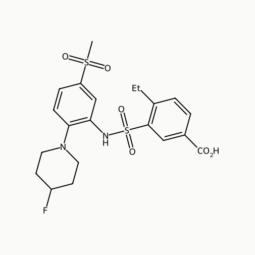 CCc1ccc(C(=O)O)cc1S(=O)(=O)Nc1cc(S(C)(=O)=O)ccc1N1CCC(F)CC1